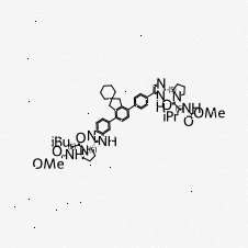 CCC(C)[C@H](NC(=O)OC)C(=O)N1CCC[C@H]1c1nc2ccc(-c3ccc(-c4ccc(-c5cnc([C@@H]6CCCN6C(=O)[C@@H](NC(=O)OC)C(C)C)[nH]5)cc4)c4c3CC3(CCCCC3)C4)cc2[nH]1